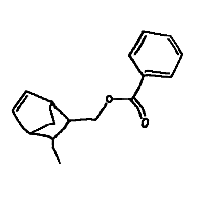 CC1C2C=CC(C2)C1COC(=O)c1ccccc1